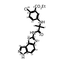 CCOC(=O)c1cc(NC(C)(C)C(=O)Nc2nc3ccc4[nH]ncc4c3s2)ccc1Cl